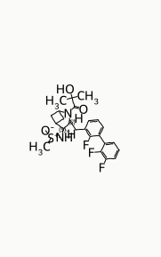 C[S+]([O-])N[C@H]1C2CC(C2)N(C(=O)C(C)(C)O)[C@H]1Cc1cccc(-c2cccc(F)c2F)c1F